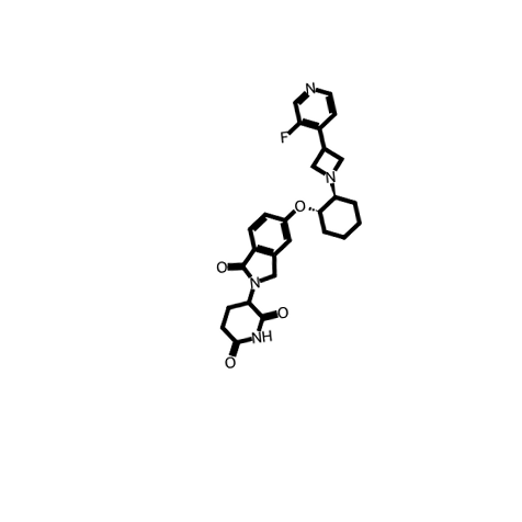 O=C1CCC(N2Cc3cc(O[C@H]4CCCC[C@@H]4N4CC(c5ccncc5F)C4)ccc3C2=O)C(=O)N1